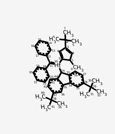 CC1C=C(C(C)(C)C)C=[C]1[Hf](=[C](c1ccccc1)c1ccccc1)[CH]1c2ccc(C(C)(C)C)cc2-c2cc(C(C)(C)C)ccc21